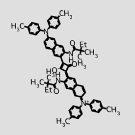 CCC(C)(C)C(=O)Nc1cc2cc(N(c3ccc(C)cc3)c3ccc(C)cc3)ccc2cc1C1=C([O-])/C(=c2/cc3c(cc2NC(=O)C(C)(C)CC)=CC(=[N+](c2ccc(C)cc2)c2ccc(C)cc2)C=C3)C1=O